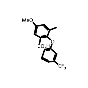 COc1cc(C)c(Oc2cccc(C(F)(F)F)c2)c(C(=O)O)c1